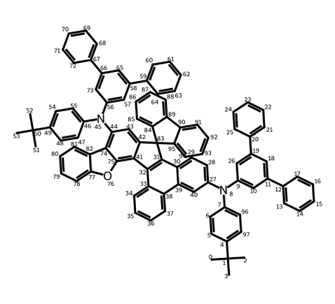 CC(C)(C)c1ccc(N(c2cc(-c3ccccc3)cc(-c3ccccc3)c2)c2ccc3c4c(c5ccccc5c3c2)-c2c(cc(N(c3ccc(C(C)(C)C)cc3)c3cc(-c5ccccc5)cc(-c5ccccc5)c3)c3c2oc2ccccc23)C42c3ccccc3-c3ccccc32)cc1